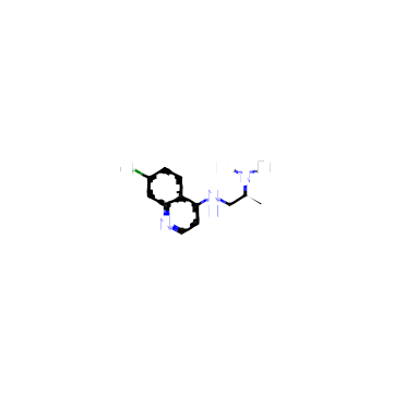 CCN(CC)[C@@H](C)CNc1ccnc2cc(Cl)ccc12